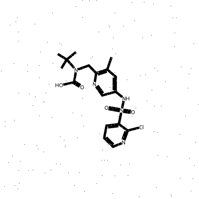 Cc1cc(NS(=O)(=O)c2cccnc2Cl)cnc1CN(C(=O)O)C(C)(C)C